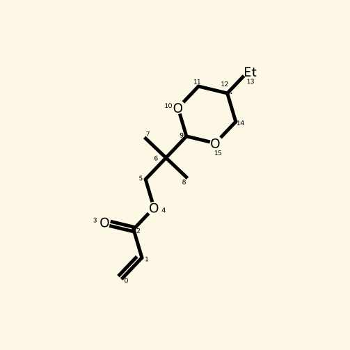 C=CC(=O)OCC(C)(C)C1OC[C](CC)CO1